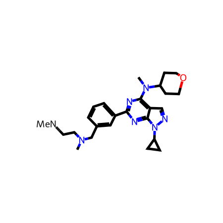 CNCCN(C)Cc1cccc(-c2nc(N(C)C3CCOCC3)c3cnn(C4CC4)c3n2)c1